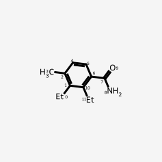 CCc1c(C)ccc(C(N)=O)c1CC